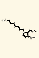 CCCCCCCCCCCCCCCCCN1C=CN(CCCCCCCCC)C1CCCCCCCCCCC